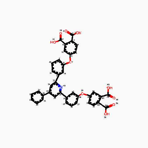 O=C(O)c1ccc(Oc2cccc(-c3cc(-c4ccccc4)cc(-c4cccc(Oc5ccc(C(=O)O)c(C(=O)O)c5)c4)n3)c2)cc1C(=O)O